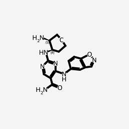 NC(=O)c1cnc(N[C@@H]2CCCC[C@@H]2N)nc1Nc1ccc2oncc2c1